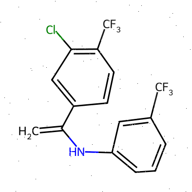 C=C(Nc1cccc(C(F)(F)F)c1)c1ccc(C(F)(F)F)c(Cl)c1